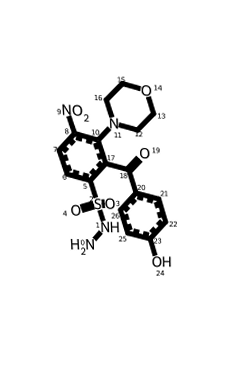 NNS(=O)(=O)c1ccc([N+](=O)[O-])c(N2CCOCC2)c1C(=O)c1ccc(O)cc1